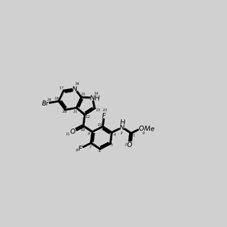 COC(=O)Nc1ccc(F)c(C(=O)c2c[nH]c3ncc(Br)cc23)c1F